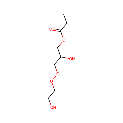 CCC(=O)OCC(O)COOCCO